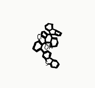 OC1(c2c(Cl)cccc2-c2ccc3c(c2)sc2ccccc23)c2ccccc2C2(c3ccccc3-c3ccccc32)c2ccccc21